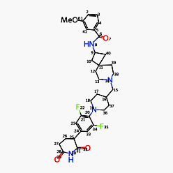 COc1cccc(C(=O)NC2CC3(CCN(CC4CCN(c5c(F)cc(C6CCC(=O)NC6=O)cc5F)CC4)CC3)C2)c1